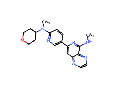 CNc1nc(-c2ccc(N(C)C3CCOCC3)nc2)cc2nccnc12